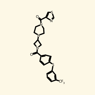 O=C(c1ccc(Sc2cccc(C(F)(F)F)c2)cc1)N1CC(N2CCN(C(=O)c3cscn3)CC2)C1